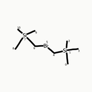 C[Si](C)(C)[CH2][Bi][CH2][Si](C)(C)C